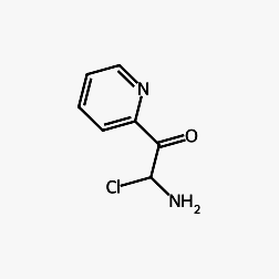 NC(Cl)C(=O)c1ccccn1